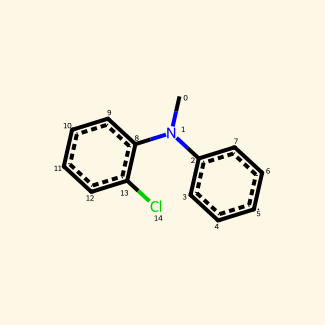 CN(c1cc[c]cc1)c1ccccc1Cl